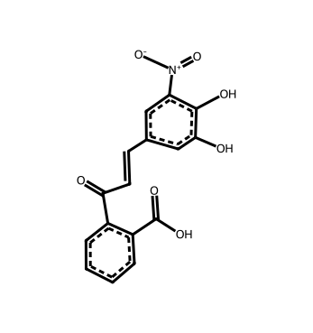 O=C(O)c1ccccc1C(=O)C=Cc1cc(O)c(O)c([N+](=O)[O-])c1